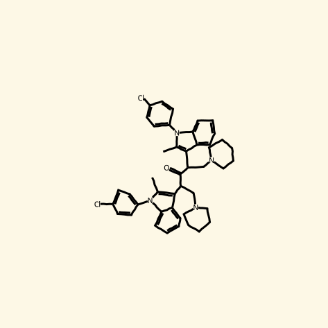 Cc1c(C(CN2CCCCC2)C(=O)C(CN2CCCCC2)c2c(C)n(-c3ccc(Cl)cc3)c3ccccc23)c2ccccc2n1-c1ccc(Cl)cc1